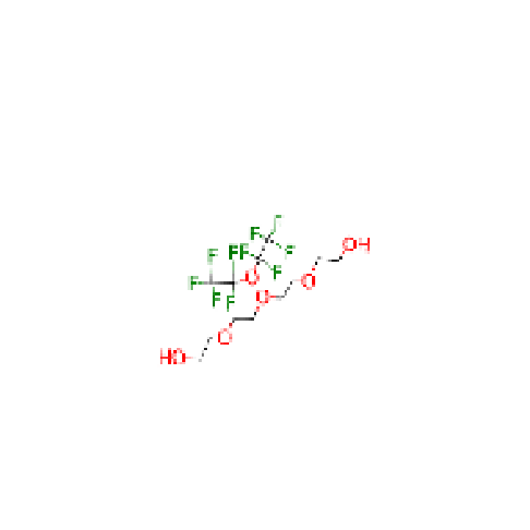 FC(F)(F)C(F)(F)OC(F)(F)C(F)(F)F.OCCOCCOCCOCCO